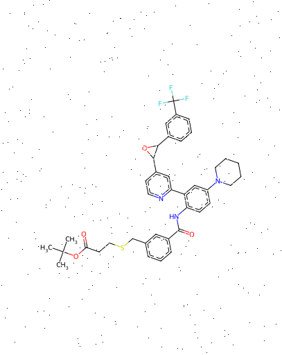 CC(C)(C)OC(=O)CCSCc1cccc(C(=O)Nc2ccc(N3CCCCC3)cc2-c2cc(C3OC3c3cccc(C(F)(F)F)c3)ccn2)c1